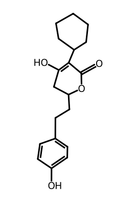 O=C1OC(CCc2ccc(O)cc2)CC(O)=C1C1CCCCC1